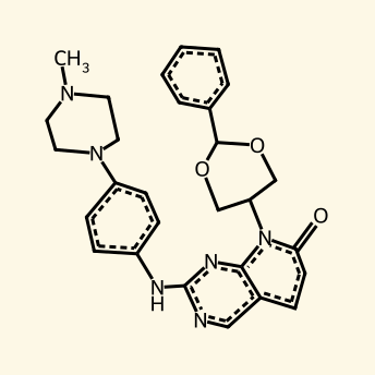 CN1CCN(c2ccc(Nc3ncc4ccc(=O)n(C5COC(c6ccccc6)OC5)c4n3)cc2)CC1